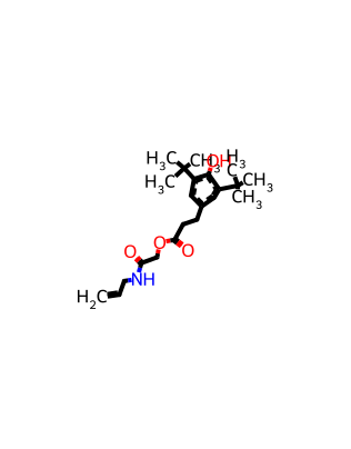 C=CCNC(=O)COC(=O)CCc1cc(C(C)(C)C)c(O)c(C(C)(C)C)c1